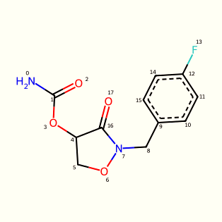 NC(=O)OC1CON(Cc2ccc(F)cc2)C1=O